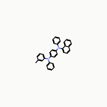 Cc1cccc(N(c2ccccc2)c2ccc(N(c3ccccc3)c3cccc4ccccc34)cc2)c1